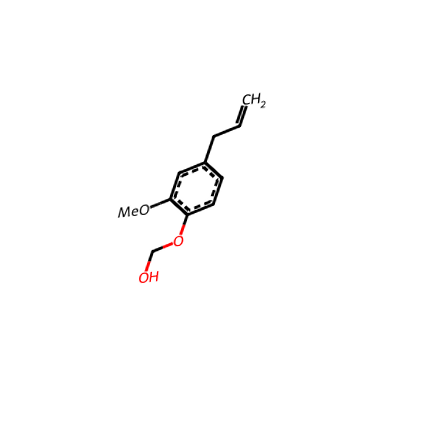 C=CCc1ccc(OCO)c(OC)c1